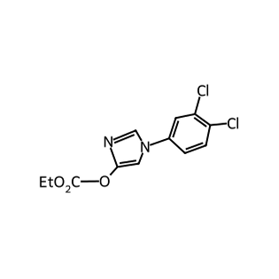 CCOC(=O)Oc1cn(-c2ccc(Cl)c(Cl)c2)cn1